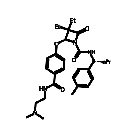 CCC[C@@H](NC(=O)N1C(=O)C(CC)(CC)[C@@H]1Oc1ccc(C(=O)NCCN(C)C)cc1)c1ccc(C)cc1